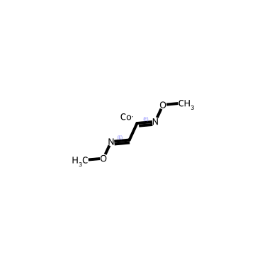 CO/N=C/C=N/OC.[Co]